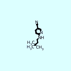 CC(C)(C)CCNc1ccc(C#N)cn1